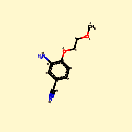 COCCOc1ccc(C#N)cc1N